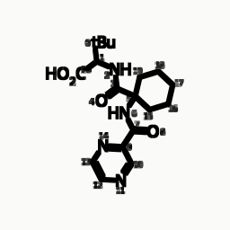 CC(C)(C)C(NC(=O)C1(NC(=O)c2cnccn2)CCCCC1)C(=O)O